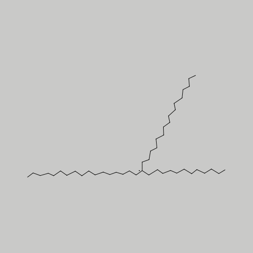 CCCCCCCCCCCCCCCCC[C](CCCCCCCCCCCC)CCCCCCCCCCCCCCCC